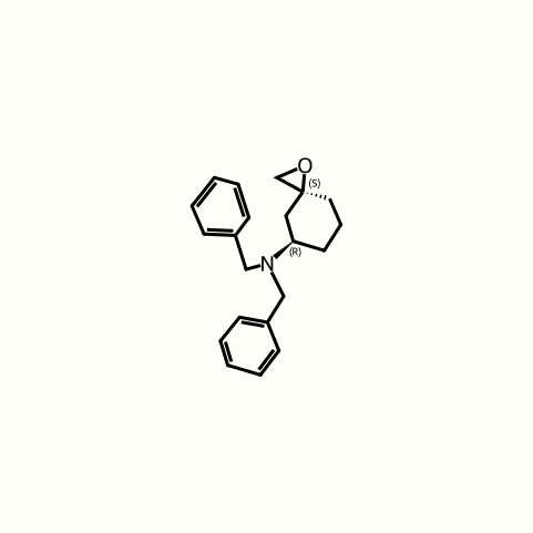 c1ccc(CN(Cc2ccccc2)[C@@H]2CCC[C@@]3(CO3)C2)cc1